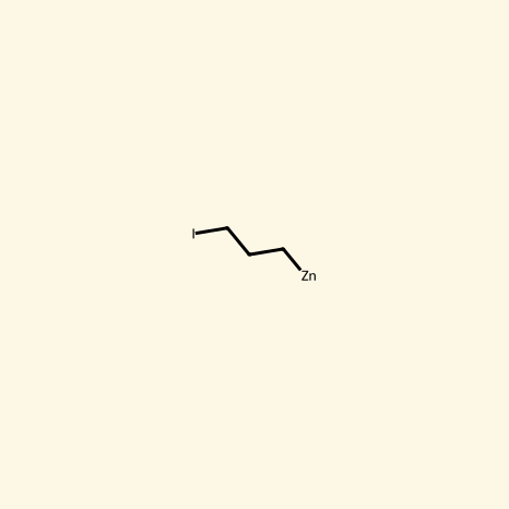 [Zn][CH2]CCI